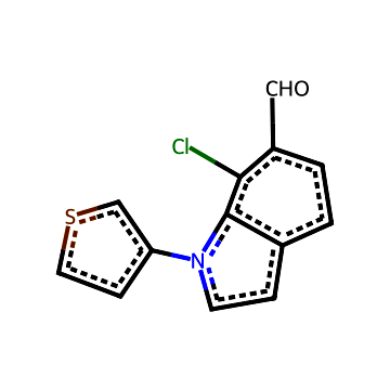 O=Cc1ccc2ccn(-c3ccsc3)c2c1Cl